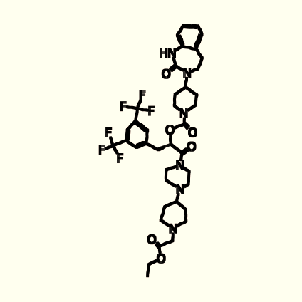 CCOC(=O)CN1CCC(N2CCN(C(=O)[C@@H](Cc3cc(C(F)(F)F)cc(C(F)(F)F)c3)OC(=O)N3CCC(N4CCc5ccccc5NC4=O)CC3)CC2)CC1